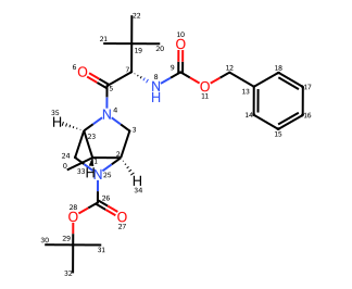 C[C@H]1[C@H]2CN(C(=O)[C@@H](NC(=O)OCc3ccccc3)C(C)(C)C)[C@@H]1CN2C(=O)OC(C)(C)C